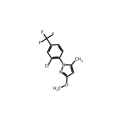 COc1cc(C)n(-c2ccc(C(F)(F)F)cc2Cl)n1